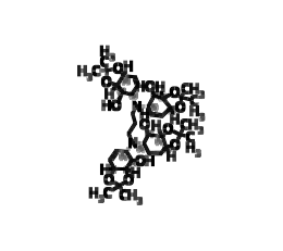 CC1(C)O[C@H]2[C@H](O)[C@@H](N(CCCN([C@H]3C=C[C@H]4OC(C)(C)O[C@H]4[C@@H]3O)[C@H]3C=C[C@H]4OC(C)(C)O[C@H]4[C@@H]3O)[C@H]3C=C[C@H]4OC(C)(C)O[C@H]4[C@@H]3O)C=C[C@H]2O1